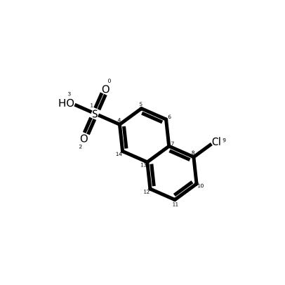 O=S(=O)(O)c1ccc2c(Cl)cccc2c1